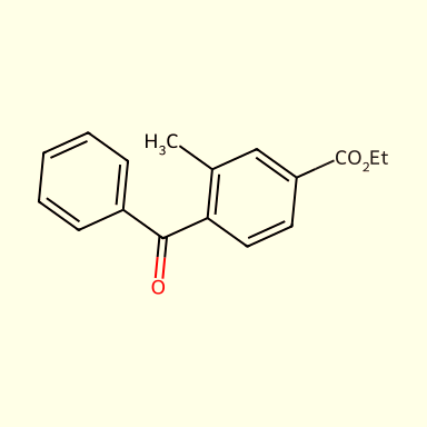 CCOC(=O)c1ccc(C(=O)c2ccccc2)c(C)c1